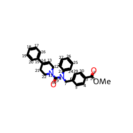 COC(=O)c1ccc(CN(C(=O)N2CC=C(c3ccccc3)CC2)c2ccccc2)cc1